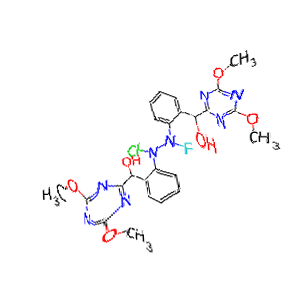 COc1nc(OC)nc(C(O)c2ccccc2N(F)N(Cl)c2ccccc2C(O)c2nc(OC)nc(OC)n2)n1